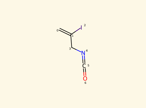 C=C(I)CN=C=O